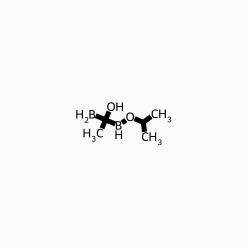 BC(C)(O)BOC(C)C